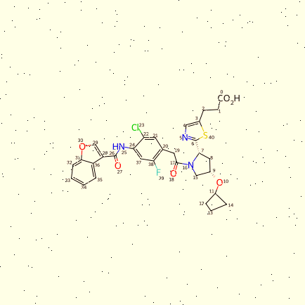 O=C(O)CCc1cnc([C@@H]2C[C@H](OC3CCC3)CN2C(=O)Cc2cc(Cl)c(NC(=O)c3coc4ccccc34)cc2F)s1